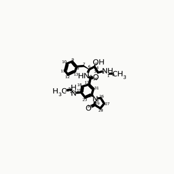 CCNC[C@H](O)[C@H](Cc1ccccc1)NC(=O)c1cc(NCC)cc(N2CCCC2=O)c1